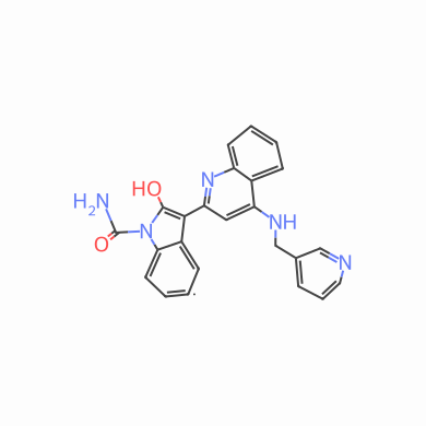 NC(=O)n1c(O)c(-c2cc(NCc3cccnc3)c3ccccc3n2)c2c[c]ccc21